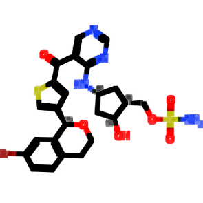 NS(=O)(=O)OC[C@H]1C[C@@H](Nc2ncncc2C(=O)c2cc([C@H]3OCCc4ccc(Br)cc43)cs2)C[C@@H]1O